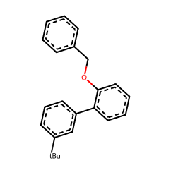 CC(C)(C)c1cccc(-c2ccccc2OCc2ccccc2)c1